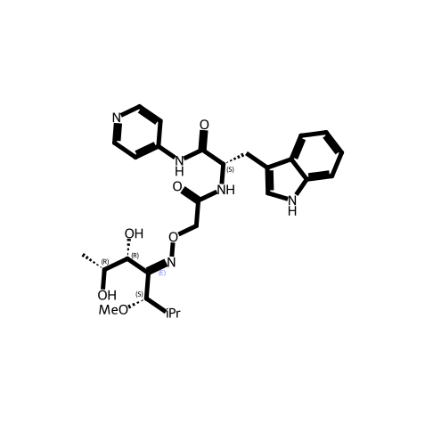 CO[C@H](/C(=N/OCC(=O)N[C@@H](Cc1c[nH]c2ccccc12)C(=O)Nc1ccncc1)[C@@H](O)[C@@H](C)O)C(C)C